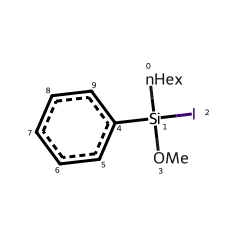 CCCCCC[Si](I)(OC)c1ccccc1